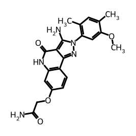 COc1cc(-n2nc3c(c2N)c(=O)[nH]c2cc(OCC(N)=O)ccc23)c(C)cc1C